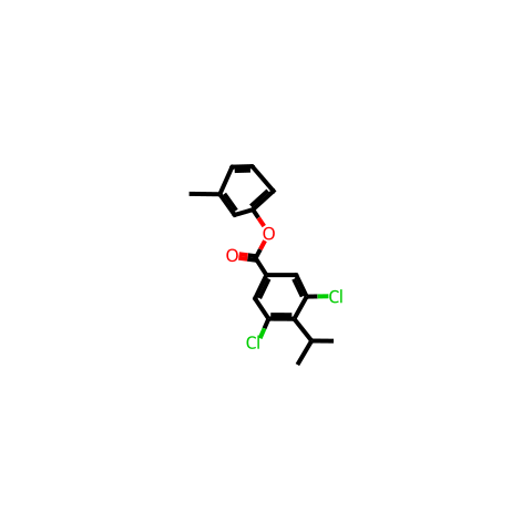 Cc1cccc(OC(=O)c2cc(Cl)c(C(C)C)c(Cl)c2)c1